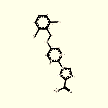 NC(=O)c1ncn(-c2ncc(OCc3c(Cl)cccc3Cl)cn2)n1